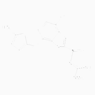 CNC(N)=NC(=O)c1cc2c(C(F)(F)F)ccc(Oc3ccc(N)s3)c2[nH]1